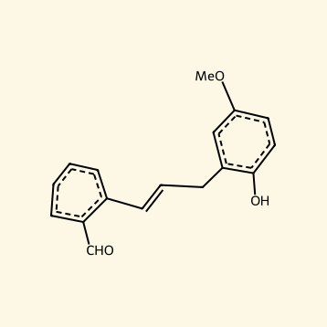 COc1ccc(O)c(CC=Cc2ccccc2C=O)c1